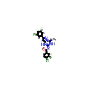 CC(C)CN/C(=N/C(=O)c1ccc(Cl)c(F)c1)Nc1cc(-c2cc(F)cc(F)c2)n[nH]1